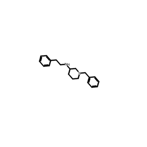 c1ccc(CCNC2CCCN(Cc3ccccc3)C2)cc1